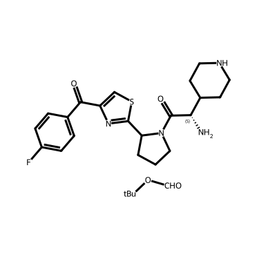 CC(C)(C)OC=O.N[C@H](C(=O)N1CCCC1c1nc(C(=O)c2ccc(F)cc2)cs1)C1CCNCC1